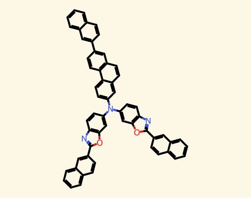 c1ccc2cc(-c3ccc4c(ccc5cc(N(c6ccc7nc(-c8ccc9ccccc9c8)oc7c6)c6ccc7nc(-c8ccc9ccccc9c8)oc7c6)ccc54)c3)ccc2c1